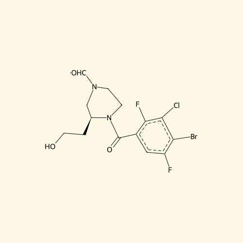 O=[C]N1CCN(C(=O)c2cc(F)c(Br)c(Cl)c2F)[C@@H](CCO)C1